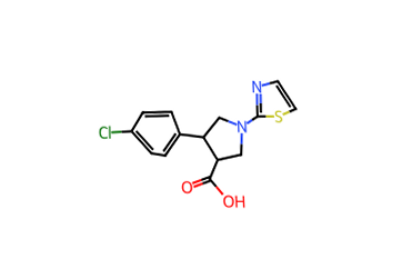 O=C(O)C1CN(c2nccs2)CC1c1ccc(Cl)cc1